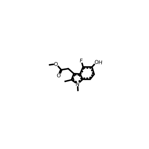 COC(=O)Cc1c(C)n(C)c2ccc(O)c(F)c12